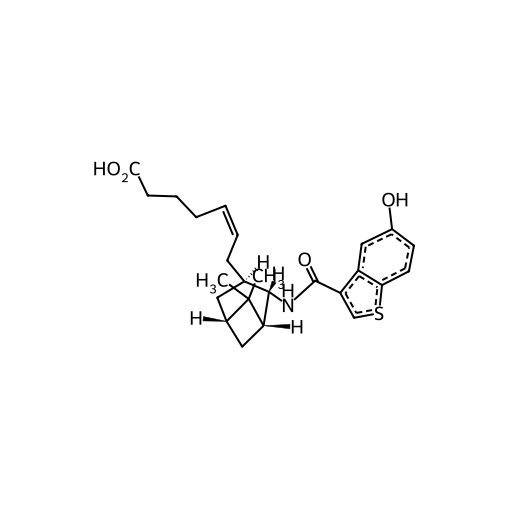 CC1(C)[C@H]2C[C@@H](C/C=C\CCCC(=O)O)[C@H](NC(=O)c3csc4ccc(O)cc34)[C@@H]1C2